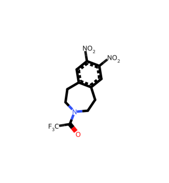 O=C(N1CCc2cc([N+](=O)[O-])c([N+](=O)[O-])cc2CC1)C(F)(F)F